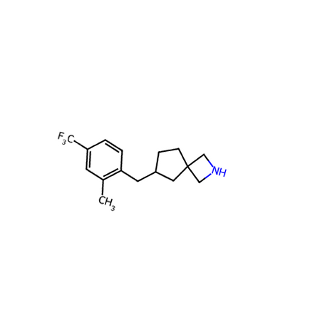 Cc1cc(C(F)(F)F)ccc1CC1CCC2(CNC2)C1